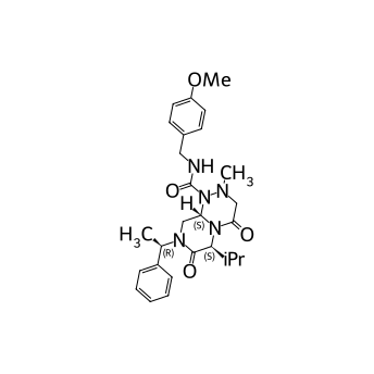 COc1ccc(CNC(=O)N2[C@H]3CN([C@H](C)c4ccccc4)C(=O)[C@H](C(C)C)N3C(=O)CN2C)cc1